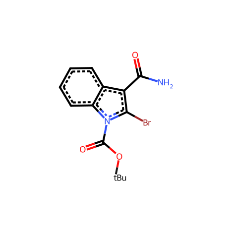 CC(C)(C)OC(=O)n1c(Br)c(C(N)=O)c2ccccc21